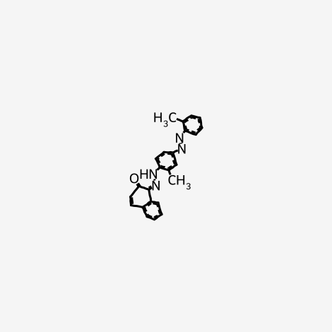 Cc1ccccc1/N=N/c1ccc(N/N=C2\C(=O)C=Cc3ccccc32)c(C)c1